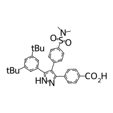 CN(C)S(=O)(=O)c1ccc(-c2c(-c3ccc(C(=O)O)cc3)n[nH]c2-c2cc(C(C)(C)C)cc(C(C)(C)C)c2)cc1